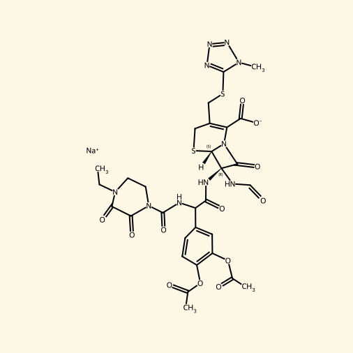 CCN1CCN(C(=O)NC(C(=O)N[C@]2(NC=O)C(=O)N3C(C(=O)[O-])=C(CSc4nnnn4C)CS[C@H]32)c2ccc(OC(C)=O)c(OC(C)=O)c2)C(=O)C1=O.[Na+]